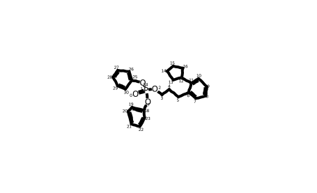 O=P(OCCCc1ccccc1C1CCCC1)(Oc1ccccc1)Oc1ccccc1